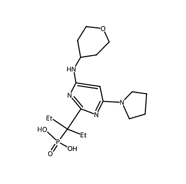 CCC(CC)(c1nc(NC2CCOCC2)cc(N2CCCC2)n1)P(=O)(O)O